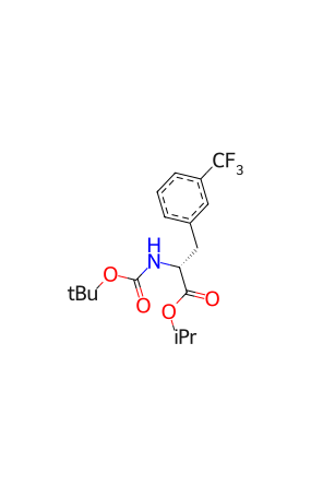 CC(C)OC(=O)[C@@H](Cc1cccc(C(F)(F)F)c1)NC(=O)OC(C)(C)C